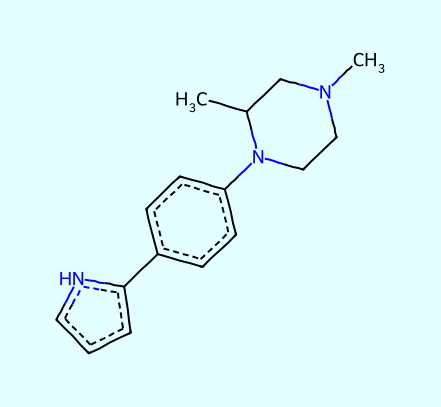 CC1CN(C)CCN1c1ccc(-c2ccc[nH]2)cc1